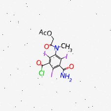 CC(=O)OCC(=O)N(C)c1c(I)c(C(N)=O)c(I)c(C(=O)Cl)c1I